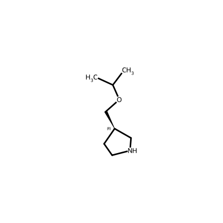 CC(C)OC[C@@H]1CCNC1